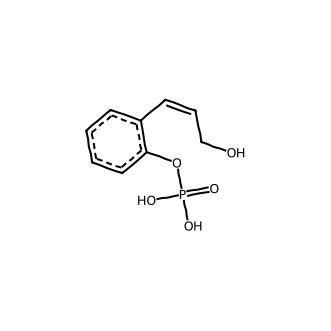 O=P(O)(O)Oc1ccccc1/C=C\CO